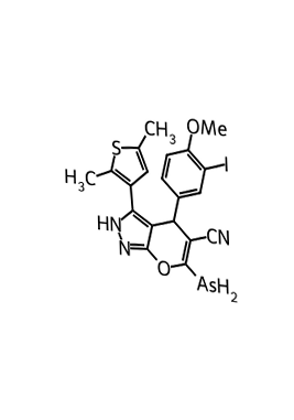 COc1ccc(C2C(C#N)=C([AsH2])Oc3n[nH]c(-c4cc(C)sc4C)c32)cc1I